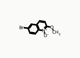 COc1ccc2cc(Br)ccc2[n+]1[O-]